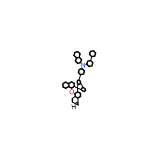 C1=C[C@@H]2C=C2c2ccc3c(c21)Oc1c(ccc2ccccc12)C31c2ccccc2-c2cc(-c3ccc(N(c4cccc(-c5ccccc5)c4)c4ccc5ccccc5c4)cc3)ccc21